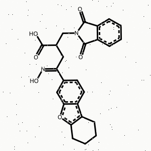 O=C(O)C(CC(=NO)c1ccc2c3c(oc2c1)CCCC3)CN1C(=O)c2ccccc2C1=O